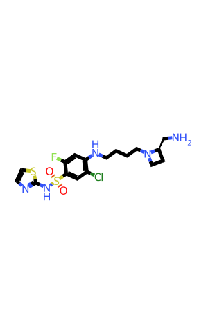 NC[C@H]1CCN1CCCCNc1cc(F)c(S(=O)(=O)Nc2nccs2)cc1Cl